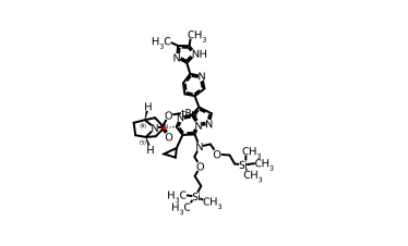 Cc1nc(-c2ccc(-c3cnn4c(N(COCC[Si](C)(C)C)COCC[Si](C)(C)C)c(C5CC5)c([C@H]5C[C@H]6CC[C@@H](C5)N6C(=O)OC(C)(C)C)nc34)cn2)[nH]c1C